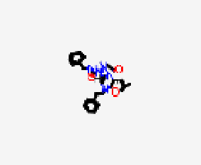 CC(C)C[C@H]1C(=O)N(CCc2ccccc2)C[C@H]2N1C(=O)CN(C)N2C(=O)NCc1ccccc1